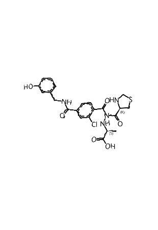 C[C@H](NN(C(=O)c1ccc(C(=O)NCc2cccc(O)c2)cc1Cl)C(=O)[C@@H]1CSCN1)C(=O)O